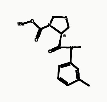 Cc1cccc(N(C)C(=O)[C@@H]2CSCN2C(=O)OC(C)(C)C)c1